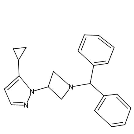 c1ccc(C(c2ccccc2)N2CC(n3nccc3C3CC3)C2)cc1